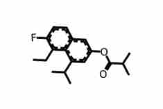 CCc1c(F)ccc2cc(OC(=O)C(C)C)cc(C(C)C)c12